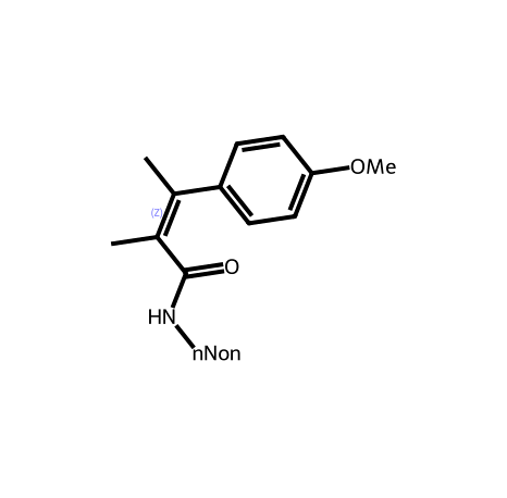 CCCCCCCCCNC(=O)/C(C)=C(/C)c1ccc(OC)cc1